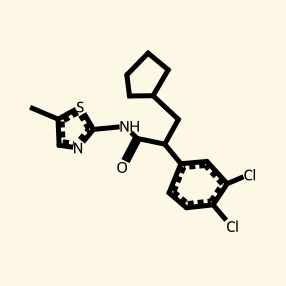 Cc1cnc(NC(=O)C(CC2CCCC2)c2ccc(Cl)c(Cl)c2)s1